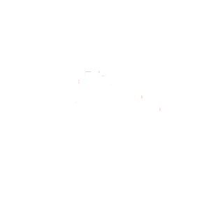 Cc1cc(OC2CCCCO2)ccc1C(=O)C=Cc1ccccc1